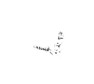 O=P([O-])([O-])F.O=P([O-])([O-])F.O=P([O-])([O-])F.O=P([O-])([O-])F.[Na+].[Na+].[Na+].[Na+].[Na+].[Na+].[Na+].[Na+]